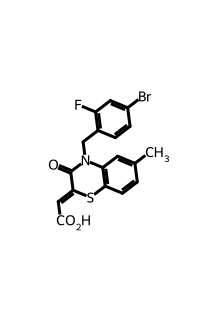 Cc1ccc2c(c1)N(Cc1ccc(Br)cc1F)C(=O)C(=CC(=O)O)S2